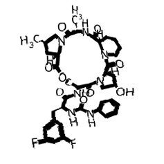 C[C@@H]1C[C@H]2C(=O)OC[C@H](NC(=O)[C@H](Cc3cc(F)cc(F)c3)NC(=O)Nc3ccccc3)C(=O)N3C[C@H](O)C[C@H]3C(=O)N3CCCC[C@H]3C(=O)N[C@@H](C)C(=O)N2C1